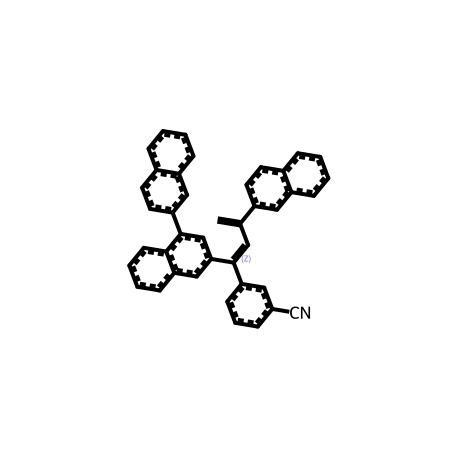 C=C(/C=C(/c1cccc(C#N)c1)c1cc(-c2ccc3ccccc3c2)c2ccccc2c1)c1ccc2ccccc2c1